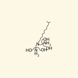 CC(C)CCCCCCCCCCN(CC(N)(CCO)CCO)CC(N)(CCO)CCO